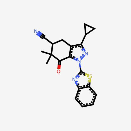 CC1(C)C(=O)c2c(c(C3CC3)nn2-c2nc3ccccc3s2)CC1C#N